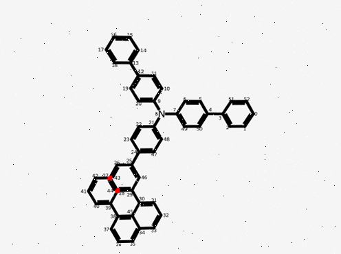 c1ccc(-c2ccc(N(c3ccc(-c4ccccc4)cc3)c3ccc(-c4cccc(-c5cccc6cccc(-c7ccccc7)c56)c4)cc3)cc2)cc1